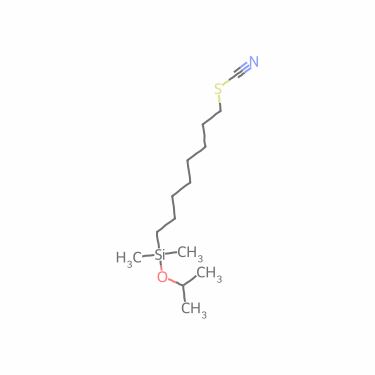 CC(C)O[Si](C)(C)CCCCCCCCSC#N